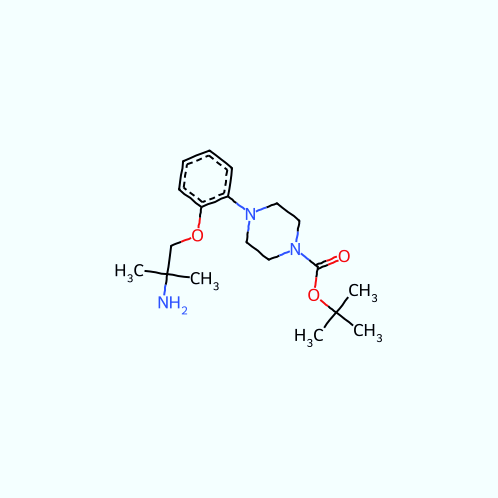 CC(C)(N)COc1ccccc1N1CCN(C(=O)OC(C)(C)C)CC1